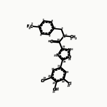 CN(Cc1ccc(C(F)(F)F)cc1)C(=O)c1noc(-c2cc(Cl)c(O)c(Cl)c2)n1